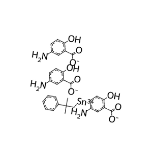 CC(C)([CH2][Sn+3])c1ccccc1.Nc1ccc(O)c(C(=O)[O-])c1.Nc1ccc(O)c(C(=O)[O-])c1.Nc1ccc(O)c(C(=O)[O-])c1